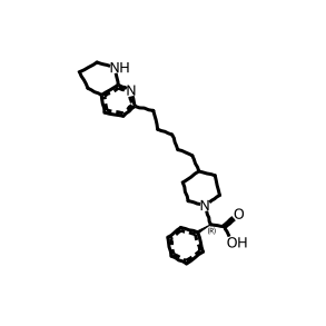 O=C(O)[C@@H](c1ccccc1)N1CCC(CCCCCc2ccc3c(n2)NCCC3)CC1